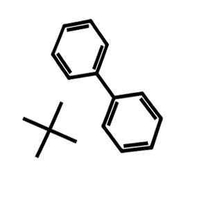 CC(C)(C)C.c1ccc(-c2ccccc2)cc1